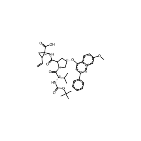 C=CC1C[C@]1(NC(=O)C1C[C@H](Oc2cc(-c3ccccc3)nc3cc(OC)ccc23)CN1C(=O)[C@@H](NC(=O)OC(C)(C)C)C(C)C)C(=O)O